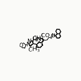 Cc1nn(C2CCOC2)c(C)c1-c1cccc2c(CCCOc3cccc4ccccc34)c(C(=O)O)[nH]c12